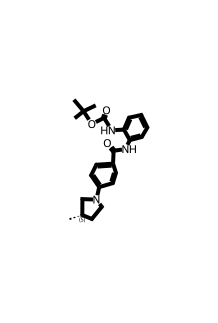 C[C@H]1CCN(c2ccc(C(=O)Nc3ccccc3NC(=O)OC(C)(C)C)cc2)C1